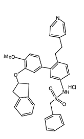 COc1ccc(-c2cc(NS(=O)(=O)Cc3ccccc3)ccc2CCc2ccncc2)cc1OC1Cc2ccccc2C1.Cl